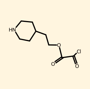 O=C(Cl)C(=O)OCCC1CCNCC1